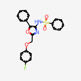 O=S(=O)(Nc1nc(COc2ccc(F)cc2)oc1-c1ccccc1)c1ccccc1